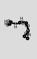 CN(C(=O)CCN1CCC(OC(=O)Nc2ccccc2-c2ccccc2)CC1)c1cccc(CC(=O)Nc2ccc(CCNCCc3ccc(O)c4[nH]c(=O)ccc34)cc2)c1